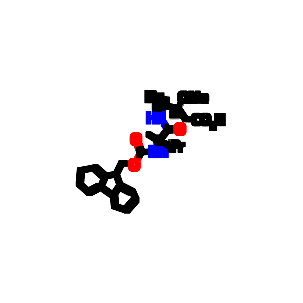 CC[C@H](C)[C@H](NC(=O)[C@@](C)(NC(=O)OCC1c2ccccc2-c2ccccc21)C(C)C)[C@@H](CC(=O)O)OC